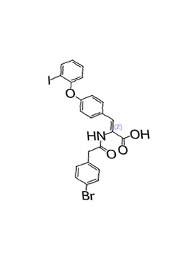 O=C(Cc1ccc(Br)cc1)N/C(=C\c1ccc(Oc2ccccc2I)cc1)C(=O)O